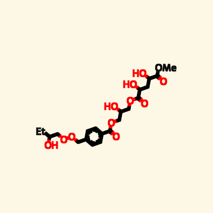 CCC(O)COOCc1ccc(C(=O)OCC(O)COC(=O)C(O)CC(O)C(=O)OC)cc1